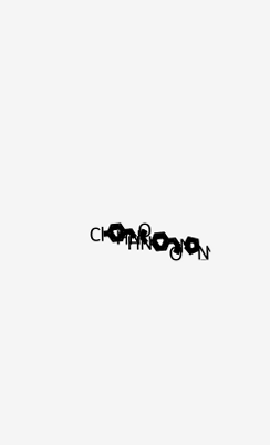 CN(C)[C@@H]1CCN(C(=O)Cc2ccc(NC(=O)NCc3ccc(Cl)cc3)cc2)C1